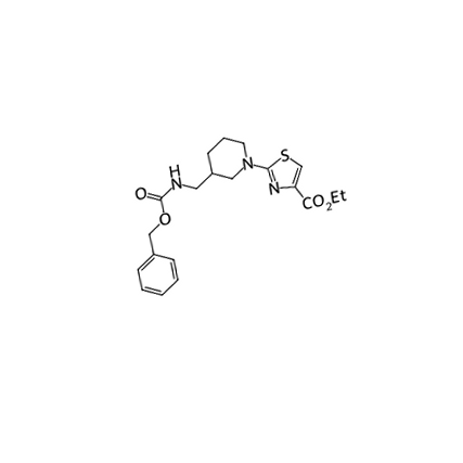 CCOC(=O)c1csc(N2CCCC(CNC(=O)OCc3ccccc3)C2)n1